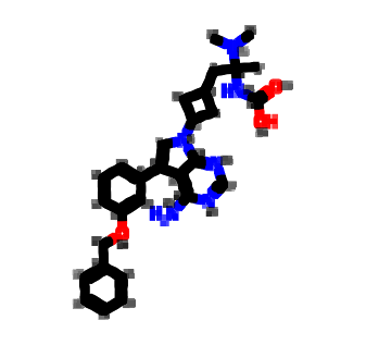 [CH2]C(CC1CC(n2cc(-c3cccc(OCc4ccccc4)c3)c3c(N)ncnc32)C1)(NC(=O)O)N(C)C